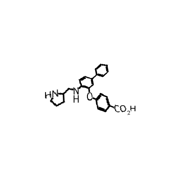 O=C(O)c1ccc(Oc2cc(-c3ccccc3)ccc2NCC2CCCN2)cc1